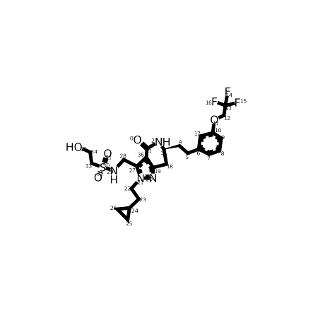 O=C1N[C@@H](CCc2cccc(OCC(F)(F)F)c2)Cc2nn(CCC3CC3)c(CNS(=O)(=O)CCO)c21